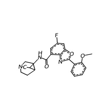 COc1ccccc1-c1nc2c(C(=O)NC3CN4CCC3CC4)cc(F)cc2o1